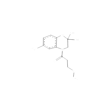 COCCC(=O)N1CC(C)(C)Oc2ccc(C)cc21